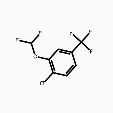 FC(F)Oc1cc(C(F)(F)F)ccc1Cl